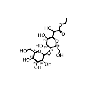 CCOC(=O)C(O)C1O[C@H](CO)[C@@H](OC2O[C@H](CO)[C@H](O)[C@H](O)[C@H]2O)[C@H](O)[C@H]1O